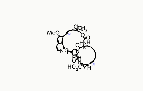 COc1cc2ccnc3c2cc1/C=C/CC(C)(C)COC(=O)N[C@H]1CCCCC/C=C\[C@@H]2C[C@@]2(C(=O)O)NC(=O)[C@@H]2C[C@H](CN2C1=O)O3